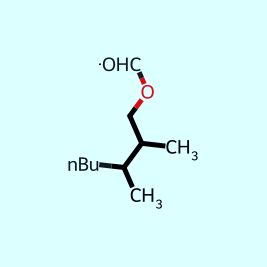 CCCCC(C)C(C)CO[C]=O